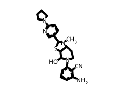 CN1C(c2ccc(N3CCCC3)nc2)SC2C(O)N(c3cccc(N)c3C#N)CCC21